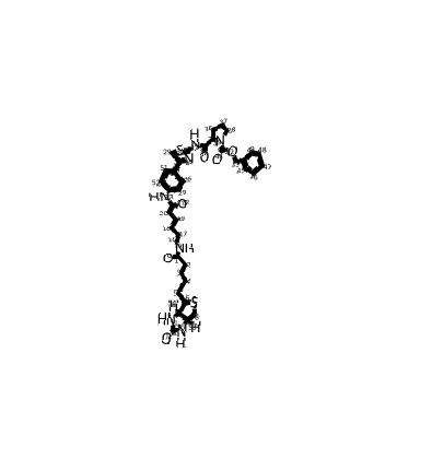 O=C(CCCCC1SC[C@@H]2NC(=O)N[C@H]12)NCCCCCC(=O)Nc1ccc(-c2csc(NC(=O)C3CCCN3C(=O)OCc3ccccc3)n2)cc1